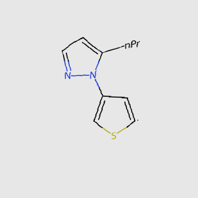 CCCc1ccnn1-c1c[c]sc1